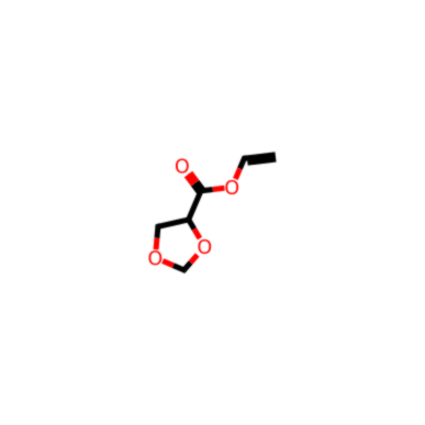 C=COC(=O)C1COCO1